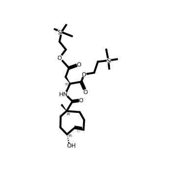 C[C@@]1(C(=O)N[C@@H](CC(=O)OCC[Si](C)(C)C)C(=O)OCC[Si](C)(C)C)CC/C=C/[C@H](O)CC1